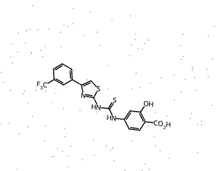 O=C(O)c1ccc(NC(=S)Nc2nc(-c3cccc(C(F)(F)F)c3)cs2)cc1O